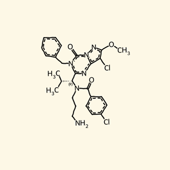 COc1nn2c(=O)n(Cc3ccccc3)c([C@@H](C(C)C)N(CCCN)C(=O)c3ccc(Cl)cc3)nc2c1Cl